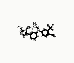 CCN(c1ccc(C#N)c(C(F)(F)F)c1)C1C=C(c2cnc(Cl)n2C)CCC1